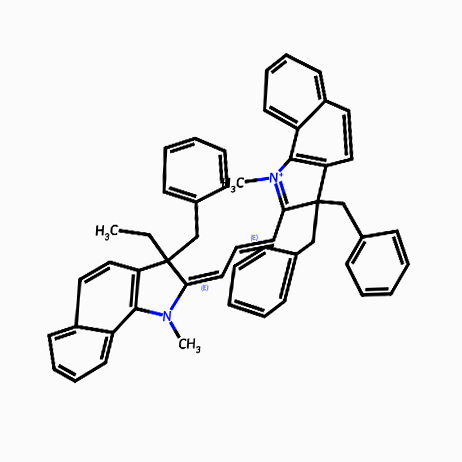 CCC1(Cc2ccccc2)/C(=C\C=C\C2=[N+](C)c3c(ccc4ccccc34)C2(Cc2ccccc2)Cc2ccccc2)N(C)c2c1ccc1ccccc21